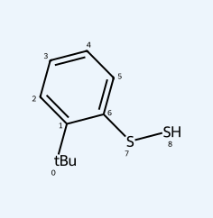 CC(C)(C)c1ccccc1SS